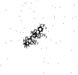 C[C@H](c1ccc(C(F)(F)F)cc1)N1C(=O)[C@@H]2C[C@H]1CN2C[C@H](N)C(=O)N1[C@H](C#N)C[C@@H]2C[C@@H]21